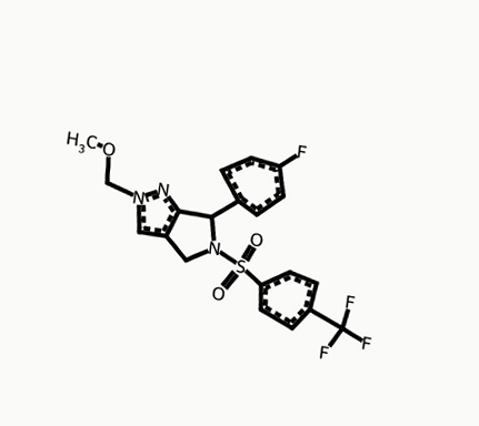 COCn1cc2c(n1)C(c1ccc(F)cc1)N(S(=O)(=O)c1ccc(C(F)(F)F)cc1)C2